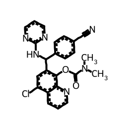 CN(C)C(=O)Oc1c(C(Nc2ncccn2)c2ccc(C#N)cc2)cc(Cl)c2cccnc12